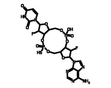 Nc1ncnc2c1ncn2C1OC2COP(=O)(S)OC3C(COP(=O)(O)OC2C1F)OC(n1ccc(=O)[nH]c1=O)C3F